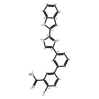 O=C(O)c1cc(-c2cccc(-c3csc(-c4cc5ccccc5s4)n3)c2)ccc1F